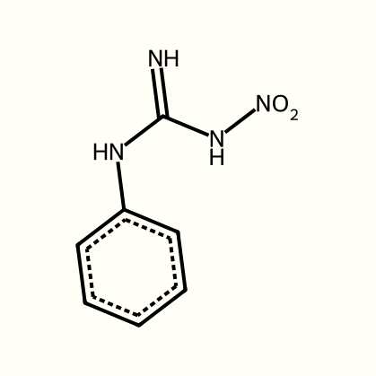 N=C(Nc1ccccc1)N[N+](=O)[O-]